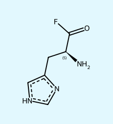 N[C@@H](Cc1c[nH]cn1)C(=O)F